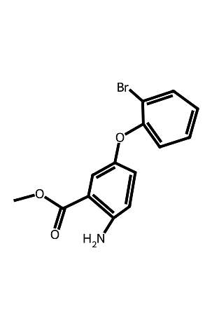 COC(=O)c1cc(Oc2ccccc2Br)ccc1N